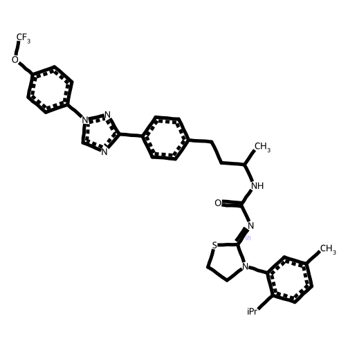 Cc1ccc(C(C)C)c(N2CCS/C2=N\C(=O)NC(C)CCc2ccc(-c3ncn(-c4ccc(OC(F)(F)F)cc4)n3)cc2)c1